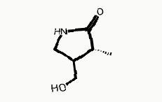 C[C@H]1C(=O)NCC1CO